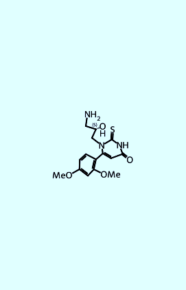 COc1ccc(-c2cc(=O)[nH]c(=S)n2C[C@@H](O)CN)c(OC)c1